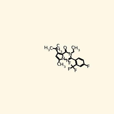 CCn1c(-c2ccc(F)cc2C(F)(F)F)nn2c(C)cc(C(C)C)c2c1=O